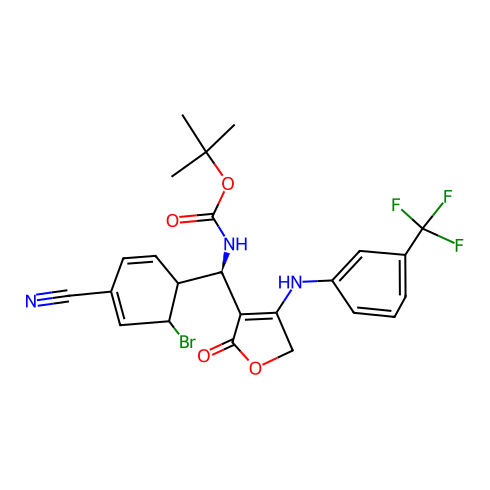 CC(C)(C)OC(=O)N[C@@H](C1=C(Nc2cccc(C(F)(F)F)c2)COC1=O)C1C=CC(C#N)=CC1Br